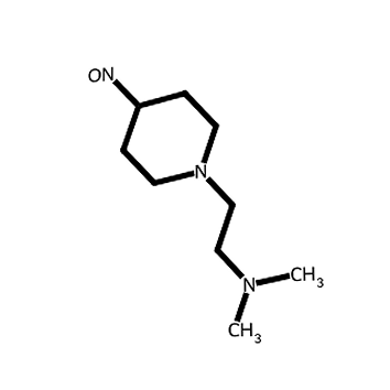 CN(C)CCN1CCC(N=O)CC1